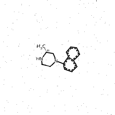 C[C@@H]1CN(c2cccc3ccccc23)CCN1